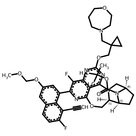 C#Cc1c(F)ccc2cc(OCOC)cc(-c3nc4c5c(nc(OCC6(CN7CCCOCC7)CC6)nc5c3F)N3C[C@H]5CC[C@@H]([C@H]3CO4)N5C(=O)OC(C)(C)C)c12